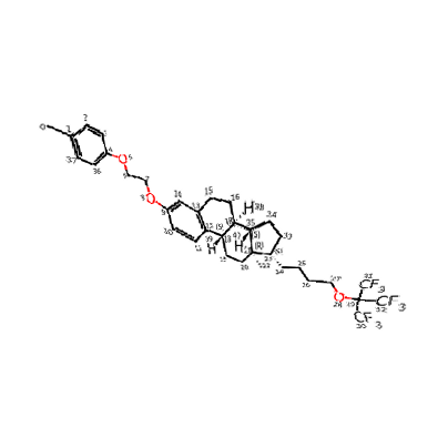 Cc1ccc(OCCOc2ccc3c(c2)CC[C@@H]2[C@@H]3CC[C@]3(C)[C@@H](CCCCOC(C(F)(F)F)(C(F)(F)F)C(F)(F)F)CC[C@@H]23)cc1